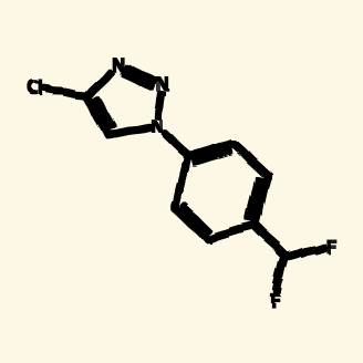 FC(F)c1ccc(-n2cc(Cl)nn2)cc1